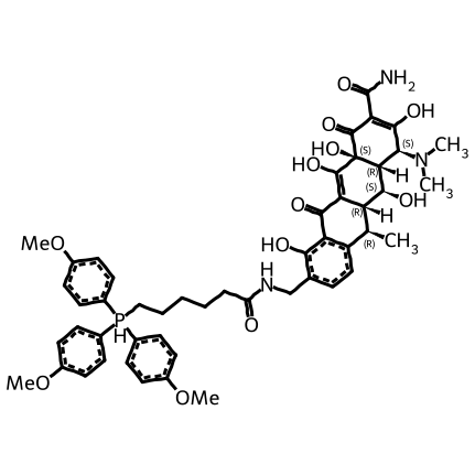 COc1ccc([PH](CCCCCC(=O)NCc2ccc3c(c2O)C(=O)C2=C(O)[C@]4(O)C(=O)C(C(N)=O)=C(O)[C@@H](N(C)C)[C@@H]4[C@@H](O)[C@@H]2[C@H]3C)(c2ccc(OC)cc2)c2ccc(OC)cc2)cc1